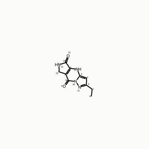 CCc1cc2[nH]c3c(c(=O)n2n1)CNC3=O